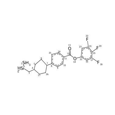 C[SiH]([SiH3])CC1CCC(c2ccc(C(=O)Oc3cc(F)c(F)c(F)c3)cc2)CC1